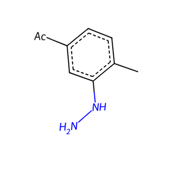 CC(=O)c1ccc(C)c(NN)c1